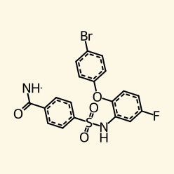 [NH]C(=O)c1ccc(S(=O)(=O)Nc2cc(F)ccc2Oc2ccc(Br)cc2)cc1